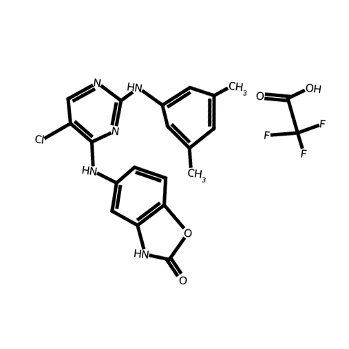 Cc1cc(C)cc(Nc2ncc(Cl)c(Nc3ccc4oc(=O)[nH]c4c3)n2)c1.O=C(O)C(F)(F)F